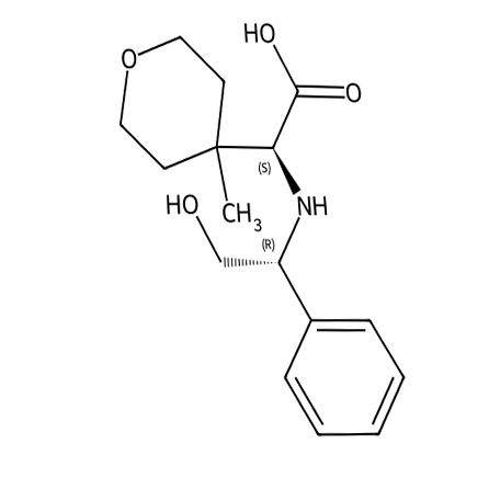 CC1([C@H](N[C@@H](CO)c2ccccc2)C(=O)O)CCOCC1